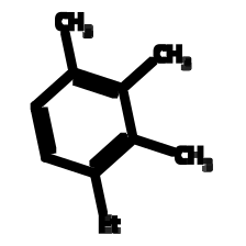 [CH2]Cc1ccc(C)c(C)c1C